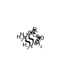 NCCN.NCCN.O=[N+]([O-])[Co][N+](=O)[O-]